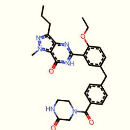 CCCc1nn(C)c2c(=O)[nH]c(-c3cc(Cc4ccc(C(=O)N5CCNC(=O)C5)cc4)ccc3OCC)nc12